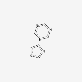 c1cscn1.c1ncncn1